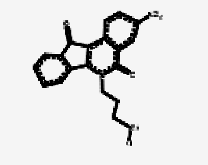 O=C1c2ccccc2-c2c1c1ccc([N+](=O)[O-])cc1c(=O)n2CCCNCl